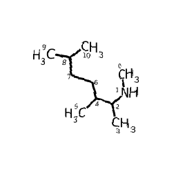 CNC(C)C(C)CCC(C)C